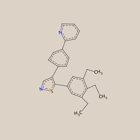 CCc1cc(-c2sncc2-c2ccc(-c3ccccn3)cc2)cc(CC)c1CC